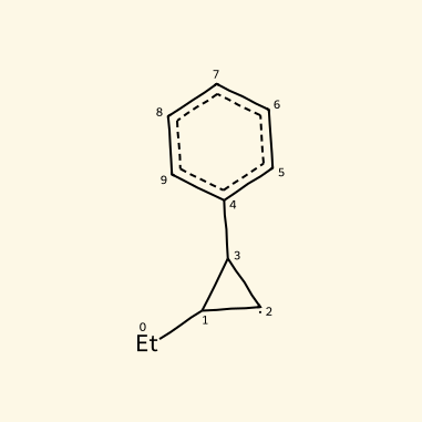 CCC1[CH]C1c1ccccc1